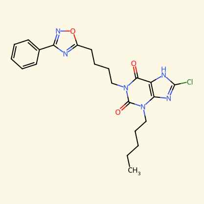 CCCCCn1c(=O)n(CCCCc2nc(-c3ccccc3)no2)c(=O)c2[nH]c(Cl)nc21